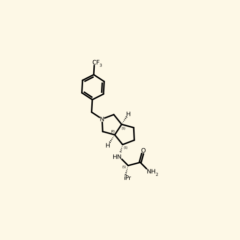 CC(C)[C@H](N[C@H]1CC[C@@H]2CN(Cc3ccc(C(F)(F)F)cc3)C[C@@H]21)C(N)=O